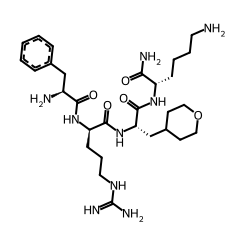 N=C(N)NCCC[C@@H](NC(=O)[C@@H](N)Cc1ccccc1)C(=O)N[C@@H](CC1CCOCC1)C(=O)N[C@@H](CCCCN)C(N)=O